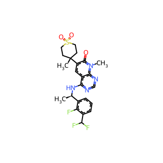 C[C@@H](Nc1ncnc2c1cc(C1(C)CCS(=O)(=O)CC1)c(=O)n2C)c1cccc(C(F)F)c1F